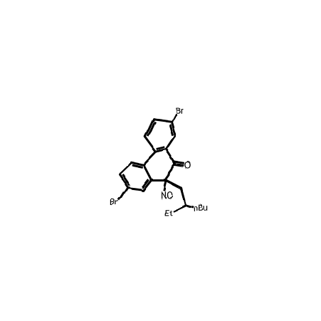 CCCCC(CC)CC1(N=O)C(=O)c2cc(Br)ccc2-c2ccc(Br)cc21